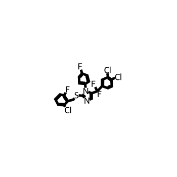 Fc1ccc(-n2c(C(F)(F)c3ccc(Cl)c(Cl)c3)cnc2SCc2c(F)cccc2Cl)cc1